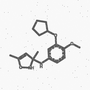 COc1ccc(NC2(C)C=C(C)ON2)cc1OC1CCCC1